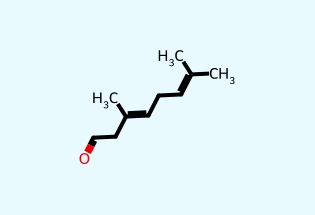 CC(C)=CC/C=C(\C)CC=O